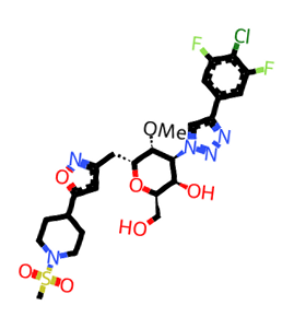 CO[C@@H]1[C@@H](n2cc(-c3cc(F)c(Cl)c(F)c3)nn2)[C@@H](O)[C@@H](CO)O[C@@H]1Cc1cc(C2CCN(S(C)(=O)=O)CC2)on1